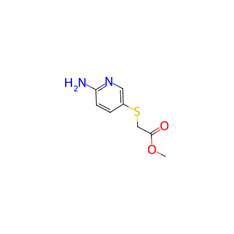 COC(=O)CSc1ccc(N)nc1